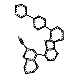 N#Cc1cc(-c2cccc3c2sc2c(-c4ccc(-c5cccnc5)cc4)cccc23)c2ccccc2c1